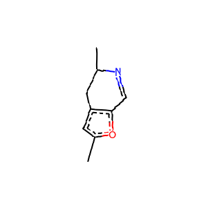 Cc1cc2c(o1)C=NC(C)C2